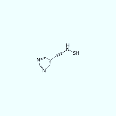 SNC#Cc1cncnc1